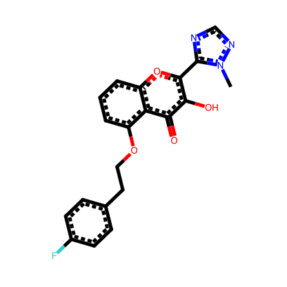 Cn1ncnc1-c1oc2cccc(OCCc3ccc(F)cc3)c2c(=O)c1O